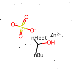 CCCCCCCC(O)CCCC.O=S(=O)([O-])[O-].[Zn+2]